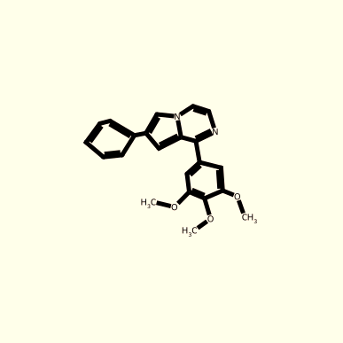 COc1cc(-c2nccn3cc(-c4ccccc4)cc23)cc(OC)c1OC